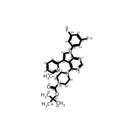 C[C@@H]1CN(c2ncnc3c2c(-c2ccccn2)cn3-c2cc(F)cc(F)c2)CCN1C(=O)OC(C)(C)C